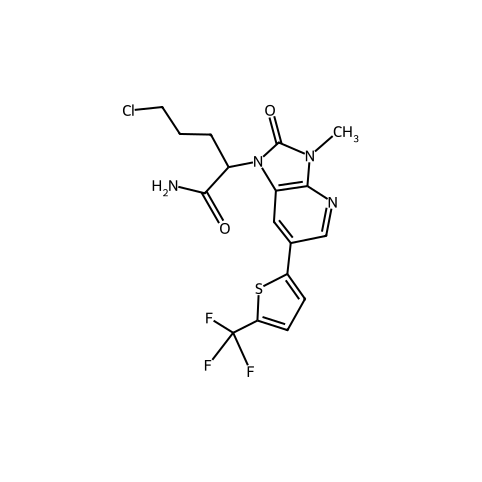 Cn1c(=O)n(C(CCCCl)C(N)=O)c2cc(-c3ccc(C(F)(F)F)s3)cnc21